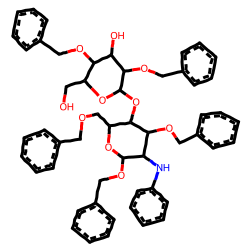 OCC1OC(OC2C(COCc3ccccc3)OC(OCc3ccccc3)C(Nc3ccccc3)C2OCc2ccccc2)C(OCc2ccccc2)C(O)C1OCc1ccccc1